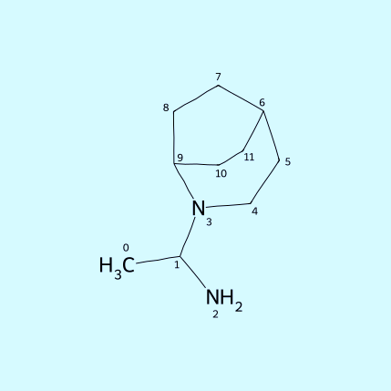 CC(N)N1CCC2CCC1CC2